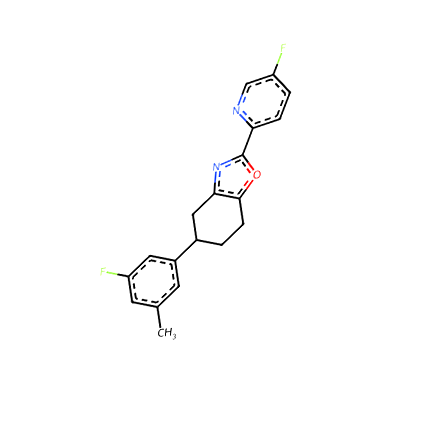 Cc1cc(F)cc(C2CCc3oc(-c4ccc(F)cn4)nc3C2)c1